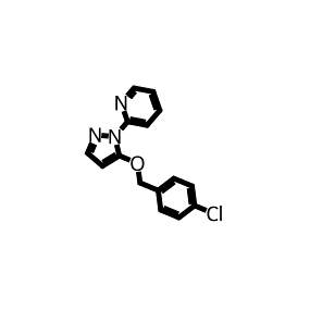 Clc1ccc(COc2ccnn2-c2ccccn2)cc1